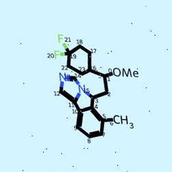 COC(CC1c2c(C)cccc2-c2cncn21)C1CCC(F)(F)CC1